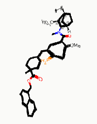 COc1cc(P)c(C=C2CCC(C)(C(=O)OCc3cccc4ccccc34)CC2)cc1C(=O)N(C)[C@@H]1[C@H]2CC[C@H](C2)[C@@H]1C(=O)O